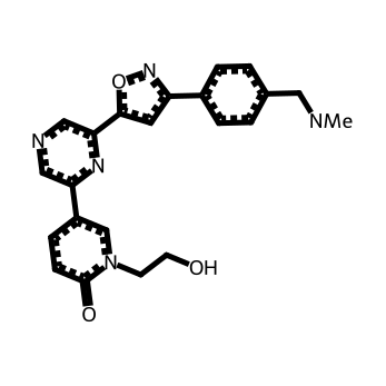 CNCc1ccc(-c2cc(-c3cncc(-c4ccc(=O)n(CCO)c4)n3)on2)cc1